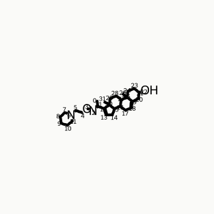 C/C(=N\OCCN1CCCCC1)C1=CCC2C3CC=C4CC(O)CCC4(C)C3CCC12C